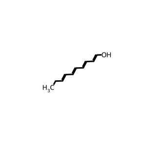 CCC=CC=CC=CC=CO